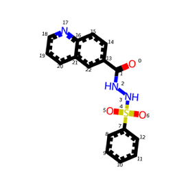 O=C(NNS(=O)(=O)c1ccccc1)c1ccc2ncccc2c1